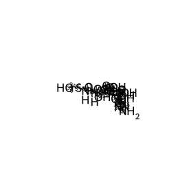 CC(C)(O)CCSCCNC(=O)CCNC(=O)C(O)C(C)(C)COP(=O)(O)OP(=O)(O)OC[C@H]1O[C@@H](n2cnc3c(N)ncnc32)[C@H](O)[C@@H]1OP(=O)(O)O